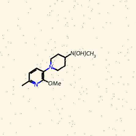 COc1nc(C)ccc1N1CCC(N(C)O)CC1